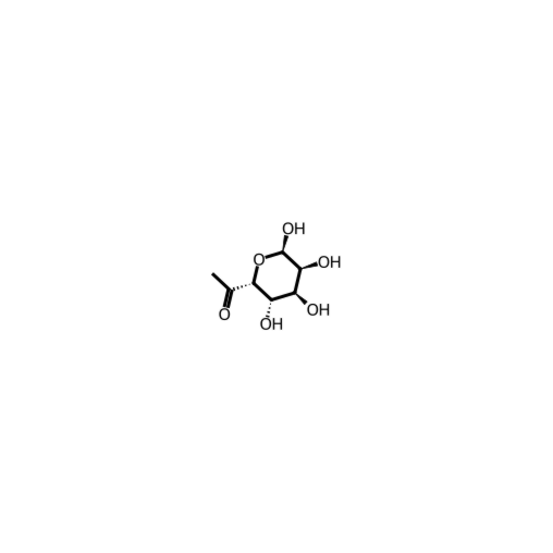 CC(=O)[C@@H]1O[C@@H](O)[C@@H](O)[C@@H](O)[C@@H]1O